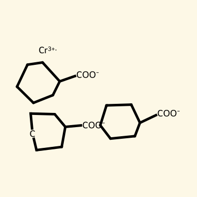 O=C([O-])C1CCCCC1.O=C([O-])C1CCCCC1.O=C([O-])C1CCCCC1.[Cr+3]